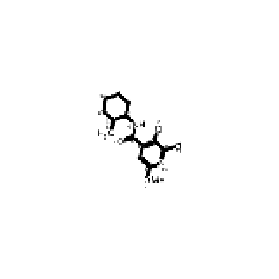 COc1cc(C(=O)NC2CCCCC2C)c(Cl)c(Cl)n1